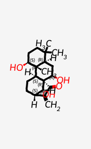 C=C1C(=O)[C@@]23[C@H](O)C[C@@H]4C(C)(C)CC[C@H](O)[C@@]4(C)[C@@H]2CC[C@@H]1[C@H]3O